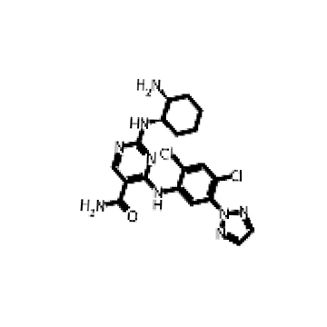 NC(=O)c1cnc(N[C@@H]2CCCC[C@@H]2N)nc1Nc1cc(-n2nccn2)c(Cl)cc1Cl